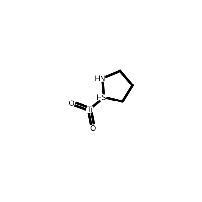 [O]=[Ti](=[O])[SH]1CCCN1